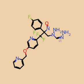 N/N=C\N(N)CC(N=O)(c1ccc(F)cc1F)C(F)(F)c1ccc(OCc2ccccn2)cn1